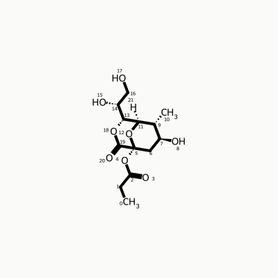 CCC(=O)O[C@@]12C[C@H](O)[C@@H](C)[C@@H](O1)[C@@H]([C@H](O)CO)OC2=O